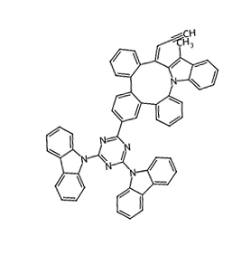 C#C/C=c1/c2ccccc2c2ccc(-c3nc(-n4c5ccccc5c5ccccc54)nc(-n4c5ccccc5c5ccccc54)n3)cc2c2ccccc2n2c1c(C)c1ccccc12